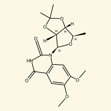 COc1cc2c(=O)[nH]c(=O)n([C@@H]3O[C@H](C)[C@H]4OC(C)(C)O[C@H]43)c2cc1OC